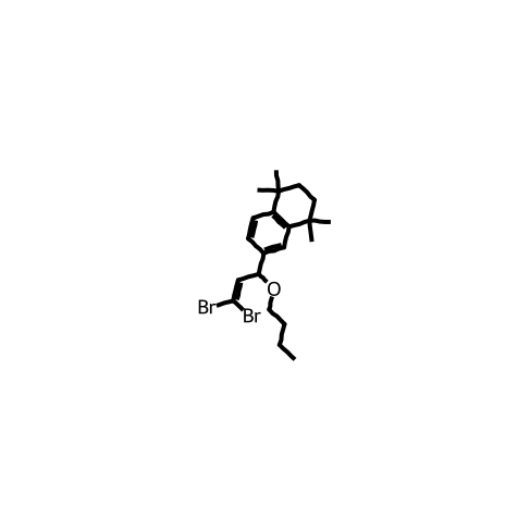 CCCCOC(C=C(Br)Br)c1ccc2c(c1)C(C)(C)CCC2(C)C